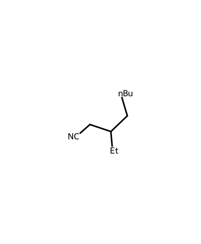 CCCCCC(CC)CC#N